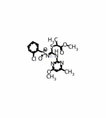 COC(=O)C(C)S/C(=N\S(=O)(=O)c1ccccc1Cl)Nc1nc(C)cc(OC)n1